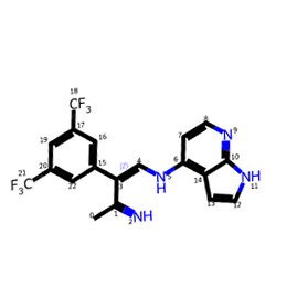 CC(=N)/C(=C\Nc1ccnc2[nH]ccc12)c1cc(C(F)(F)F)cc(C(F)(F)F)c1